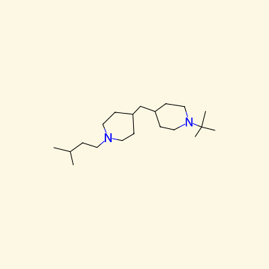 CC(C)CCN1CCC(CC2CCN(C(C)(C)C)CC2)CC1